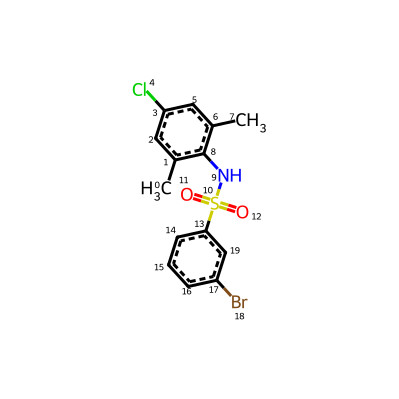 Cc1cc(Cl)cc(C)c1NS(=O)(=O)c1cccc(Br)c1